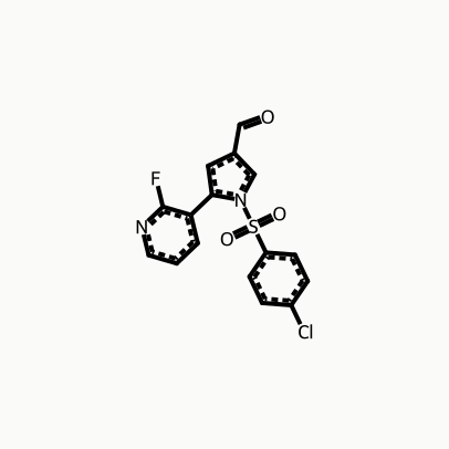 O=Cc1cc(-c2cccnc2F)n(S(=O)(=O)c2ccc(Cl)cc2)c1